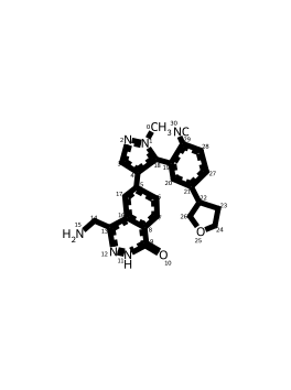 Cn1ncc(-c2ccc3c(=O)[nH]nc(CN)c3c2)c1-c1cc(C2CCOC2)ccc1C#N